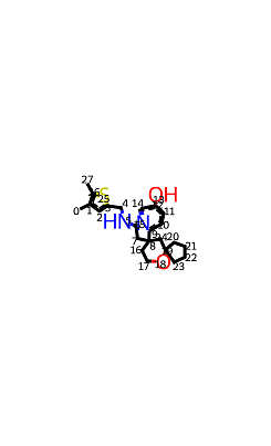 Cc1cc(CNCCC2(c3ccc(O)cn3)CCOC3(CCCC3)C2)sc1C